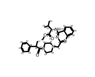 COC(=O)[C@@H](Nc1nc(CN2CCN(C(=O)C(C)c3ccccc3)CC2)nc2ccccc12)C(C)C